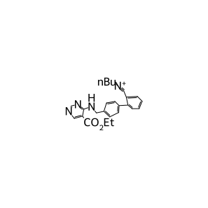 CCCC[N+]#Cc1ccccc1-c1ccc(CNc2ncncc2C(=O)OCC)cc1